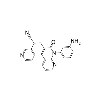 N#C/C(=C/c1cc2cccnc2n(-c2cccc(N)c2)c1=O)c1cccnc1